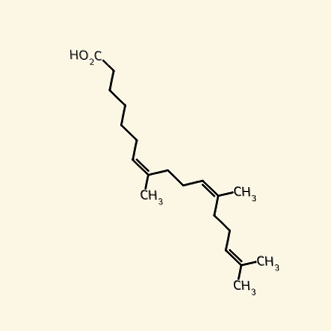 CC(C)=CCCC(C)=CCCC(C)=CCCCCCC(=O)O